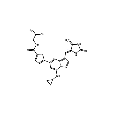 C=c1[nH]c(=O)[nH]/c1=C\c1cnn2c(NC3CC3)cc(-c3ccc(C(=O)NCC(C)O)s3)nc12